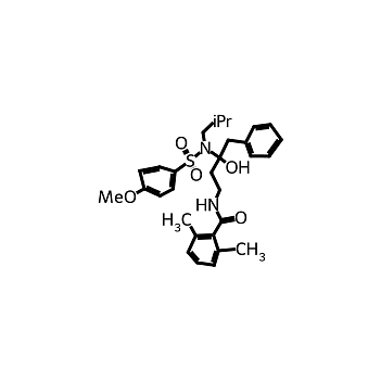 COc1ccc(S(=O)(=O)N(CC(C)C)C(O)(CCNC(=O)c2c(C)cccc2C)Cc2ccccc2)cc1